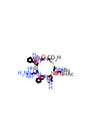 CCCC[C@H](NC(C)=O)C(=O)N[C@H]1CSSC[C@@H](C(=O)O)NC(=O)[C@H](CCCC)NC(=O)[C@@H](Cc2c[nH]c3ccccc23)NC(=O)[C@H](CCCNC(=N)N)NC(=O)[C@@H](Cc2ccccc2)NC(=O)[C@H](Cc2c[nH]cn2)NC1=O